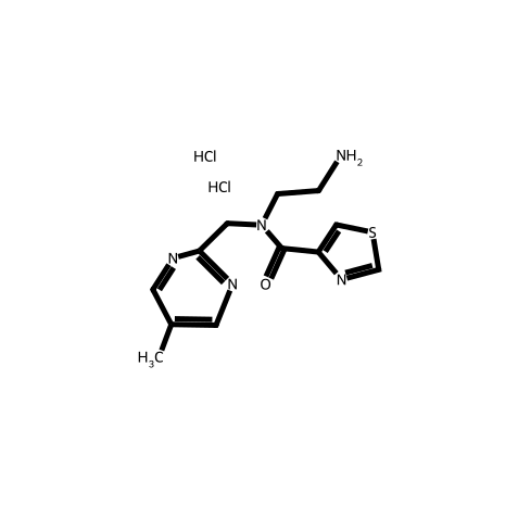 Cc1cnc(CN(CCN)C(=O)c2cscn2)nc1.Cl.Cl